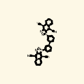 N#Cc1c2ccccc2c(C#N)c2c1nnn2-c1cccc(-c2cccc(-n3nnc4c(C#N)c5ccccc5c(C#N)c43)c2)c1